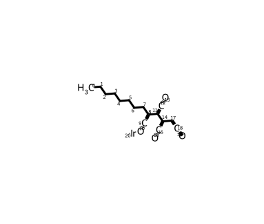 CCCCCCCCC(=C=O)C(=C=O)C(=C=O)C=C=O.[Ir]